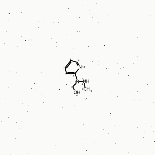 CNN(CO)c1ccccn1